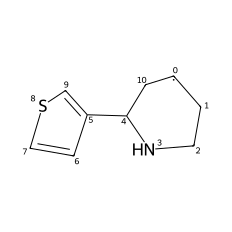 [CH]1CCNC(c2ccsc2)C1